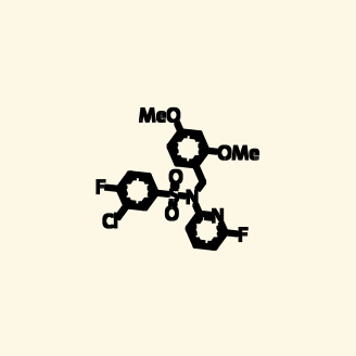 COc1ccc(CN(c2cccc(F)n2)S(=O)(=O)c2ccc(F)c(Cl)c2)c(OC)c1